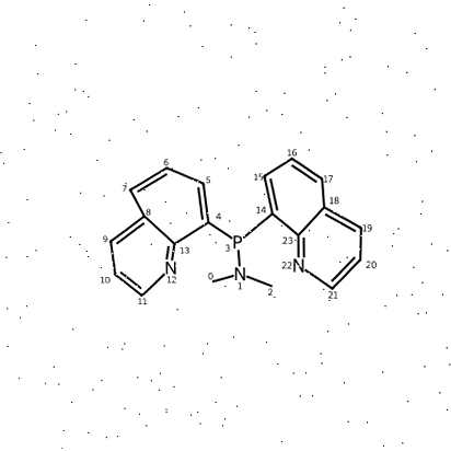 CN(C)P(c1cccc2cccnc12)c1cccc2cccnc12